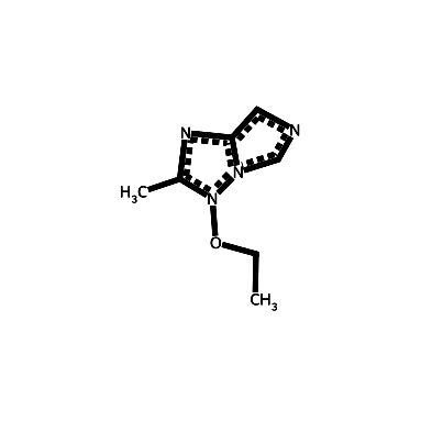 CCOn1c(C)nc2cncn21